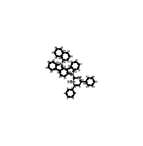 C1=C(c2ccccc2)NC(n2c3ccccc3c3c4c(ccc32)c2ccccc2n4-c2cccc3ccccc23)N=C1c1ccccc1